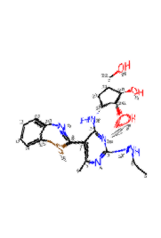 CCNc1nc(C)c(-c2nc3ccccc3s2)c(N[C@@H]2C[C@H](CO)[C@@H](O)[C@H]2O)n1